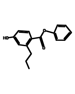 CCCc1cc(O)ccc1C(=O)Oc1ccccc1